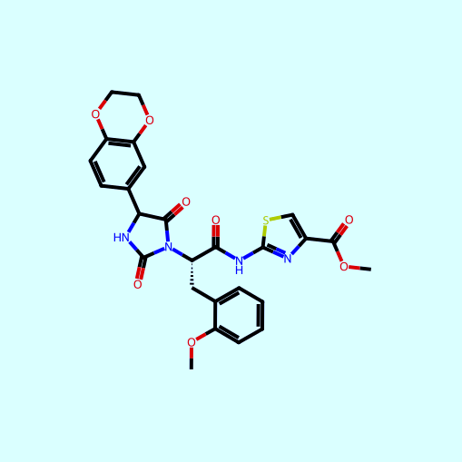 COC(=O)c1csc(NC(=O)[C@H](Cc2ccccc2OC)N2C(=O)NC(c3ccc4c(c3)OCCO4)C2=O)n1